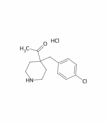 CC(=O)C1(Cc2ccc(Cl)cc2)CCNCC1.Cl